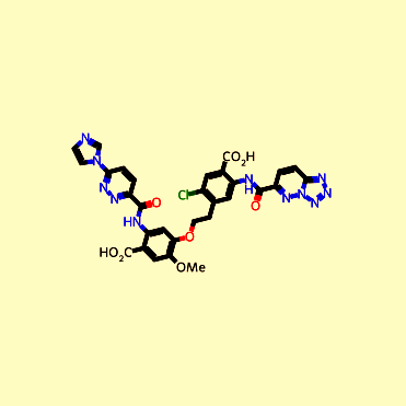 COc1cc(C(=O)O)c(NC(=O)c2ccc(-n3ccnc3)nn2)cc1OCCc1cc(NC(=O)c2ccc3nnnn3n2)c(C(=O)O)cc1Cl